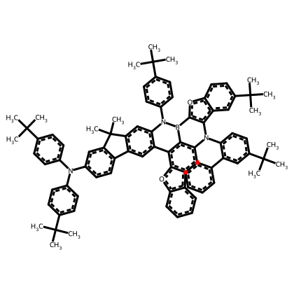 CC(C)(C)c1ccc(N2B3c4oc5ccc(C(C)(C)C)cc5c4N(c4ccc(C(C)(C)C)cc4-c4ccccc4)c4cc5c(oc6ccccc65)c(c43)-c3cc4c(cc32)C(C)(C)c2cc(N(c3ccc(C(C)(C)C)cc3)c3ccc(C(C)(C)C)cc3)ccc2-4)cc1